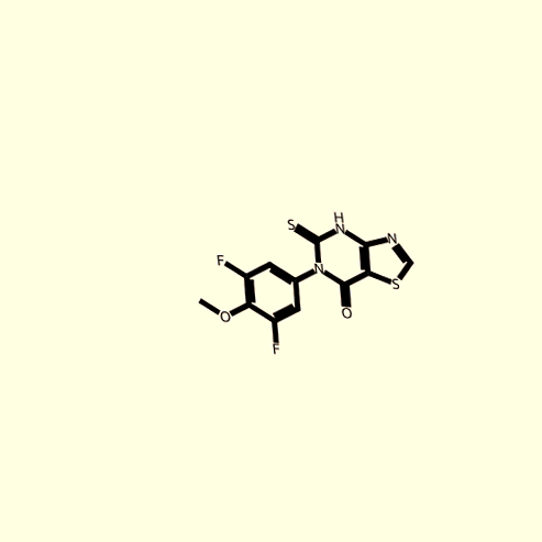 COc1c(F)cc(-n2c(=S)[nH]c3ncsc3c2=O)cc1F